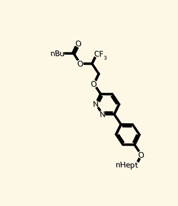 CCCCCCCOc1ccc(-c2ccc(OCC(OC(=O)CCCC)C(F)(F)F)nn2)cc1